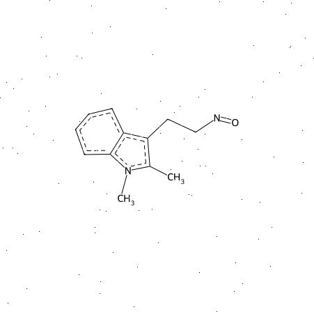 Cc1c(CCN=O)c2ccccc2n1C